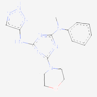 CN(c1ccccc1)c1nc(Nc2cn[nH]n2)nc(N2CCOCC2)n1